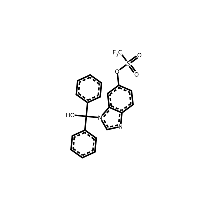 O=S(=O)(Oc1ccc2ncn(C(O)(c3ccccc3)c3ccccc3)c2c1)C(F)(F)F